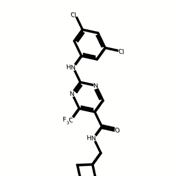 O=C(NCC1CCC1)c1cnc(Nc2cc(Cl)cc(Cl)c2)nc1C(F)(F)F